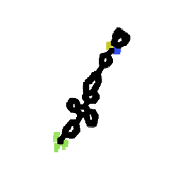 FC(F)(F)c1ccc(-c2c3ccccc3c(-c3ccc4cc(-c5ccc(-c6nc7ccccc7s6)cc5)ccc4c3)c3ccccc23)cc1